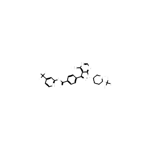 Nc1ncnc2c1c(-c1ccc(C(=O)Nc3cc(C(F)(F)F)ccn3)cc1)nn2[C@H]1CC[C@H](C(F)(F)F)NC1